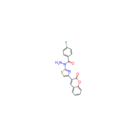 NN(C(=O)c1ccc(F)cc1)c1nc(-c2cc3ccccc3oc2=O)cs1